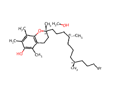 CO.Cc1c(C)c2c(c(C)c1O)CC[C@@](C)(CCC[C@H](C)CCC[C@H](C)CCCC(C)C)O2